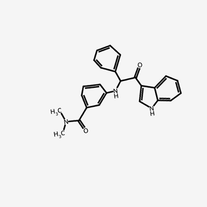 CN(C)C(=O)c1cccc(NC(C(=O)c2c[nH]c3ccccc23)c2ccccc2)c1